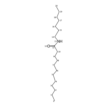 CCCCCCCCCCCC(=O)NCCCCCCC